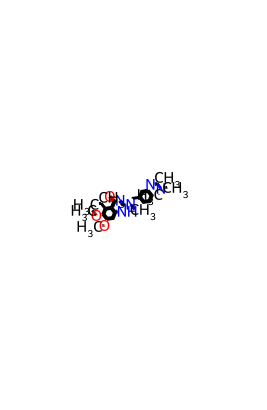 COc1cc2[nH]c(N(C)Cc3cccc(N=C(C)N(C)C)c3)nc(=O)c2c(C(C)C)c1OC